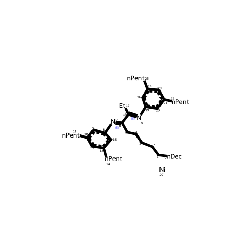 CCCCCCCCCCCCCCCC(=N\c1cc(CCCCC)cc(CCCCC)c1)/C(CC)=N/c1cc(CCCCC)cc(CCCCC)c1.[Ni]